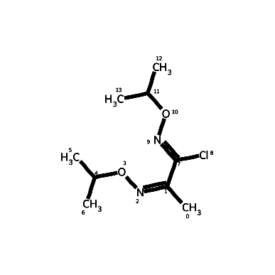 CC(=N/OC(C)C)/C(Cl)=N/OC(C)C